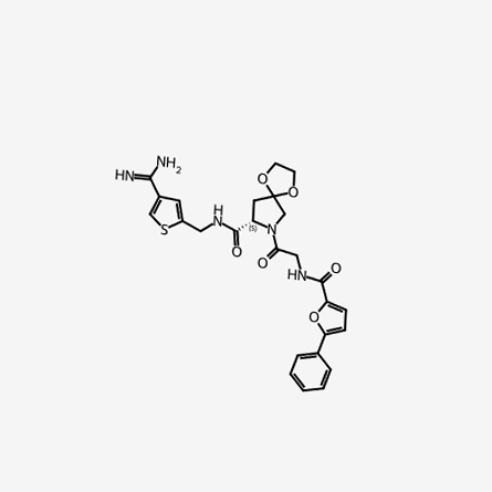 N=C(N)c1csc(CNC(=O)[C@@H]2CC3(CN2C(=O)CNC(=O)c2ccc(-c4ccccc4)o2)OCCO3)c1